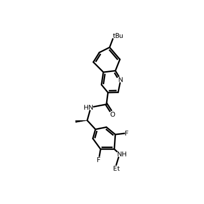 CCNc1c(F)cc([C@@H](C)NC(=O)c2cnc3cc(C(C)(C)C)ccc3c2)cc1F